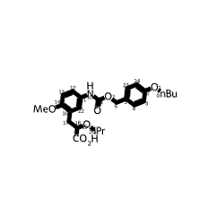 CCCCOc1ccc(COC(=O)Nc2ccc(OC)c(CC(OC(C)C)C(=O)O)c2)cc1